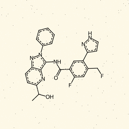 CC(O)c1ccc2nn(-c3ccccc3)c(NC(=O)c3cc(-c4cc[nH]n4)c(CF)cc3F)c2n1